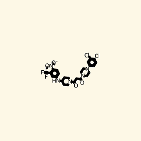 O=C(CC(=O)N1CCN(c2ccc(Cl)c(Cl)c2)CC1)N1CCC(Nc2ccc([N+](=O)[O-])c(C(F)(F)F)c2)CC1